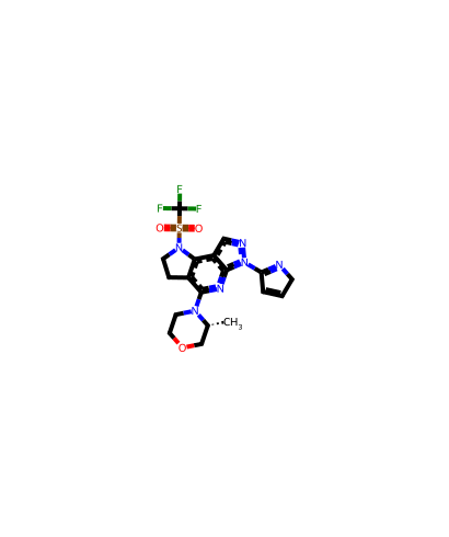 C[C@@H]1COCCN1c1nc2c(cnn2C2=NCC=C2)c2c1CCN2S(=O)(=O)C(F)(F)F